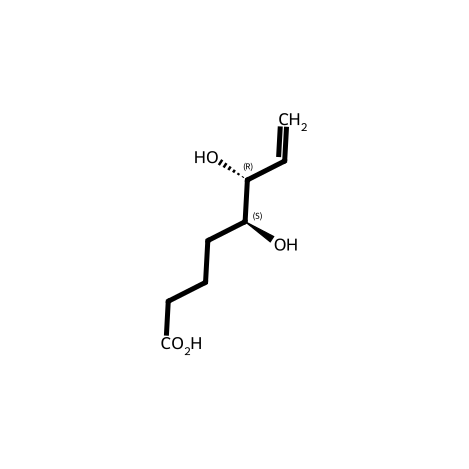 C=C[C@@H](O)[C@@H](O)CCCC(=O)O